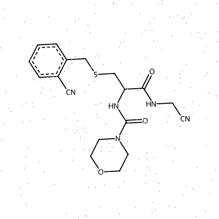 N#CCNC(=O)C(CSCc1ccccc1C#N)NC(=O)N1CCOCC1